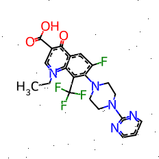 CCn1cc(C(=O)O)c(=O)c2cc(F)c(N3CCN(c4ncccn4)CC3)c(C(F)(F)F)c21